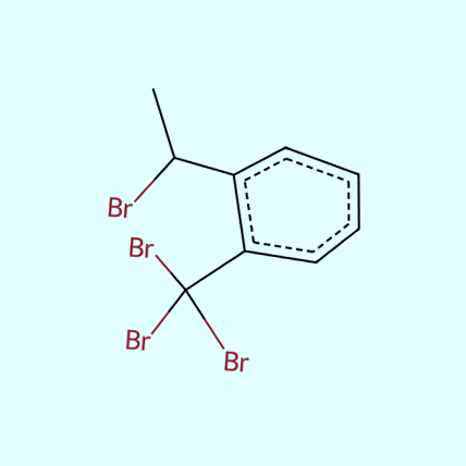 CC(Br)c1ccccc1C(Br)(Br)Br